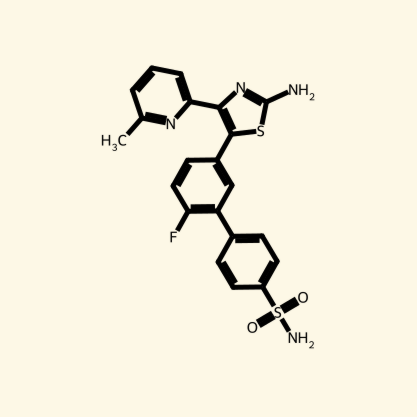 Cc1cccc(-c2nc(N)sc2-c2ccc(F)c(-c3ccc(S(N)(=O)=O)cc3)c2)n1